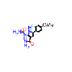 COc1ccc(-c2cc(C(N)=O)c(NC(N)=O)[nH]2)c(F)c1